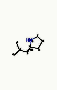 C[C](C)C[C@@H]1CCCN1